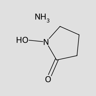 N.O=C1CCCN1O